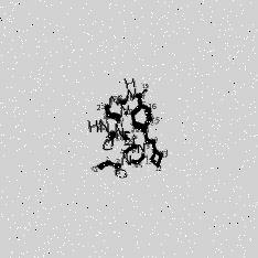 C=CC(=O)N1CCN(C(CC2CCC2)c2ccc([C@H](C)Nc3ncc4[nH]c(=O)n(CC)c4n3)cc2)CC1